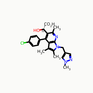 Cc1nc2c(c(C)c(C)n2Cc2cnn(C)c2)c(-c2ccc(Cl)cc2)c1[C@H](O)C(=O)O